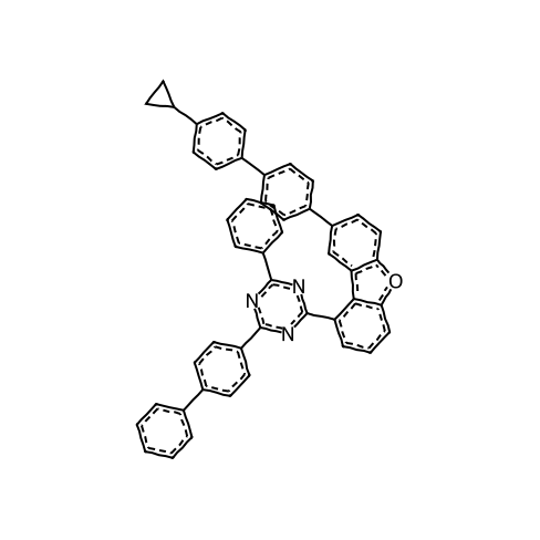 c1ccc(-c2ccc(-c3nc(-c4ccccc4)nc(-c4cccc5oc6ccc(-c7ccc(-c8ccc(C9CC9)cc8)cc7)cc6c45)n3)cc2)cc1